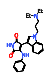 CCN(CC)CCCn1cc(C2=C(Nc3ccccc3)C(=O)NC2=O)c2ccccc21